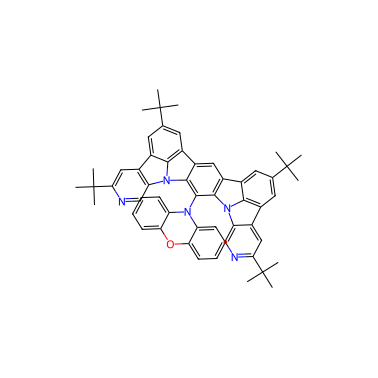 CC(C)(C)c1cc2c3cc(C(C)(C)C)ncc3n3c4c(N5c6ccccc6Oc6ccccc65)c5c(cc4c(c1)c23)c1cc(C(C)(C)C)cc2c3cc(C(C)(C)C)ncc3n5c21